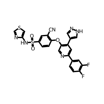 N#Cc1cc(S(=O)(=O)Nc2cscn2)ccc1Oc1cnc(-c2ccc(F)c(F)c2)cc1-c1cn[nH]c1